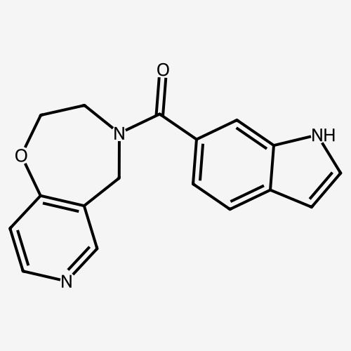 O=C(c1ccc2cc[nH]c2c1)N1CCOc2ccncc2C1